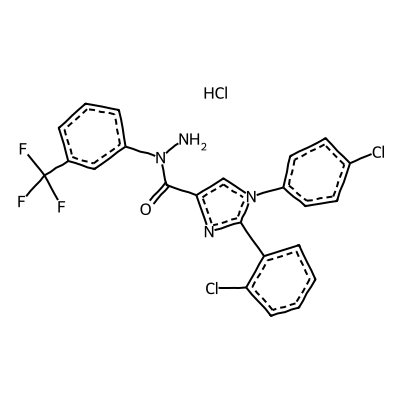 Cl.NN(C(=O)c1cn(-c2ccc(Cl)cc2)c(-c2ccccc2Cl)n1)c1cccc(C(F)(F)F)c1